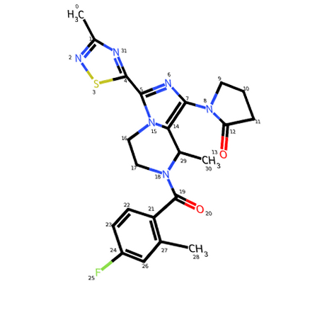 Cc1nsc(-c2nc(N3CCCC3=O)c3n2CCN(C(=O)c2ccc(F)cc2C)C3C)n1